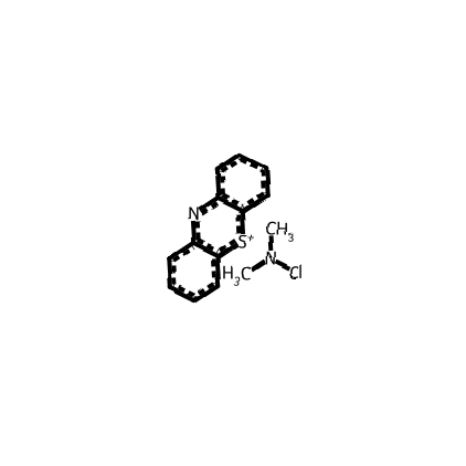 CN(C)Cl.c1ccc2[s+]c3ccccc3nc2c1